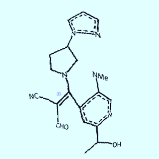 CNc1cnc(C(C)O)cc1/C(=C(/C#N)C=O)N1CCC(n2cccn2)C1